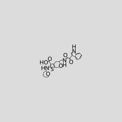 O=C(NCC1Cc2c(sc(NC3CCCCO3)c2C(=O)O)CO1)C(=O)c1c[nH]c2ccccc12